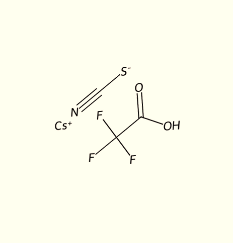 N#C[S-].O=C(O)C(F)(F)F.[Cs+]